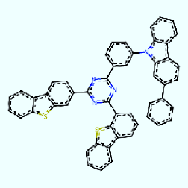 c1ccc(-c2ccc3c4ccccc4n(-c4cccc(-c5nc(-c6ccc7c(c6)sc6ccccc67)nc(-c6cccc7c6sc6ccccc67)n5)c4)c3c2)cc1